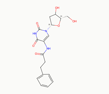 O=C(CCc1ccccc1)Nc1cn([C@@H]2CC(O)[C@H](CO)O2)c(=O)[nH]c1=O